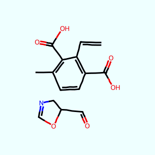 C=Cc1c(C(=O)O)ccc(C)c1C(=O)O.O=CC1CN=CO1